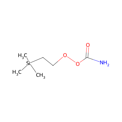 C[Si](C)(C)CCOOC(N)=O